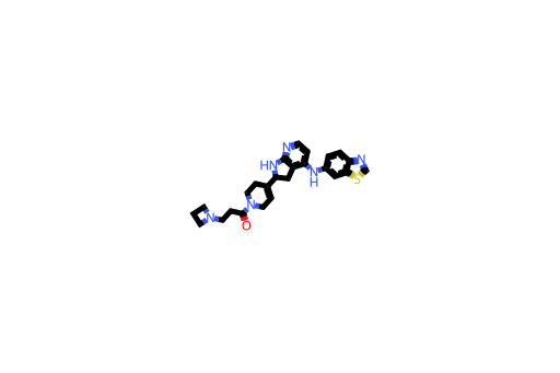 O=C(CCN1CCC1)N1CC=C(C2Cc3c(Nc4ccc5ncsc5c4)ccnc3N2)CC1